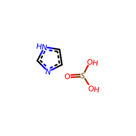 O=S(O)O.c1c[nH]cn1